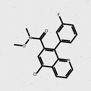 CON(C)C(=O)c1cc(Cl)c2cccnc2c1-c1cccc(F)c1